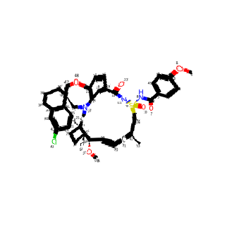 COc1ccc(C(=O)N[S@@]2(=O)=NC(=O)c3ccc4c(c3)N(C[C@@H]3CC[C@H]3[C@@H](OC)/C=C/C[C@H](C)C2)C[C@@]2(CCCc3cc(Cl)ccc32)CO4)cc1